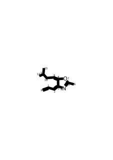 C=C/C=c1/nc(C)o/c1=C/CC(C)C